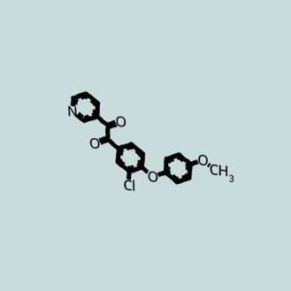 COc1ccc(Oc2ccc(C(=O)C(=O)c3cccnc3)cc2Cl)cc1